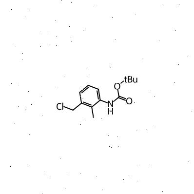 Cc1c(CCl)cccc1NC(=O)OC(C)(C)C